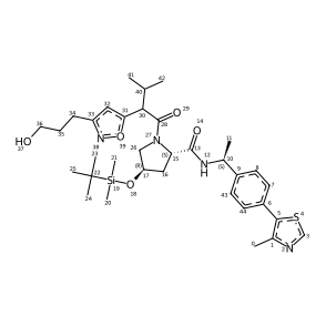 Cc1ncsc1-c1ccc([C@H](C)NC(=O)[C@@H]2C[C@@H](O[Si](C)(C)C(C)(C)C)CN2C(=O)C(c2cc(CCCO)no2)C(C)C)cc1